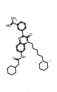 C[C@@H]1CCC[C@H](C)N1CCCCCn1c(=O)c(-c2cccc(C(=N)N)c2)nc2ccc(NC(=O)CC3CCCCC3)cc21